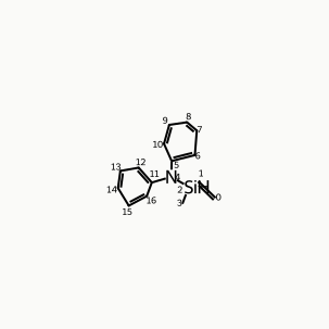 C=C[SiH](C)N(c1ccccc1)c1ccccc1